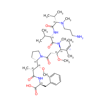 C/C=C(/C)[C@@H]([C@@H](CC(=O)N1CCC[C@H]1[C@H](OC)[C@@H](C)C(=O)N[C@@H](Cc1ccccc1)C(=O)O)OC)N(C)C(=O)[C@@H](NC(=O)[C@H](C(C)C)N(C)CCCN)C(C)C